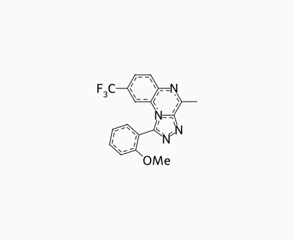 COc1ccccc1-c1nnc2c(C)nc3ccc(C(F)(F)F)cc3n12